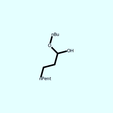 CCCCCCCC(O)OCCCC